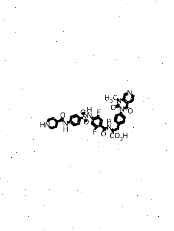 Cn1c(=O)n(-c2ccc(CC(NC(=O)c3cc(F)c(NS(=O)(=O)c4ccc(NC(=O)C5CCNCC5)cc4)cc3F)C(=O)O)cc2)c(=O)c2ccncc21